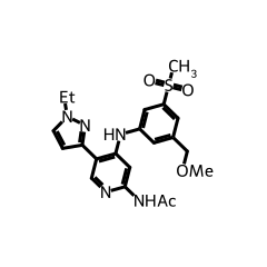 CCn1ccc(-c2cnc(NC(C)=O)cc2Nc2cc(COC)cc(S(C)(=O)=O)c2)n1